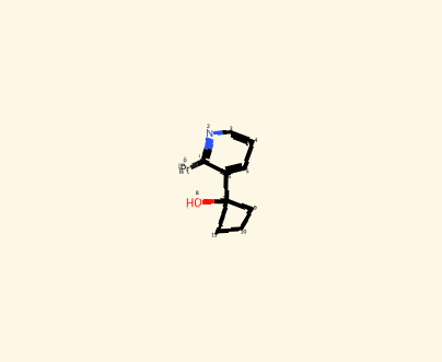 CC(C)c1ncccc1C1(O)CCC1